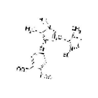 CC[n+]1ccn(C)c1C.CC[n+]1ccn(C)c1C.O=C([O-])c1ccccc1C(=O)[O-]